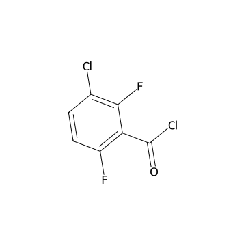 O=C(Cl)c1c(F)ccc(Cl)c1F